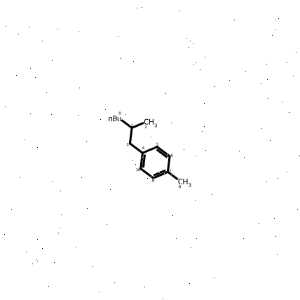 CCCCC(C)Cc1ccc(C)cc1